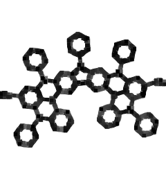 CC(C)(C)c1cc2c3c(c1)N(c1ccccc1)c1cc4c(cc1B3c1ccccc1N2c1ccccc1)c1cc2c(cc1n4-c1ccccc1)N(c1ccccc1)c1cc(C(C)(C)C)cc3c1B2c1ccccc1N3c1ccccc1